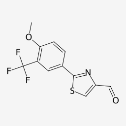 COc1ccc(-c2nc(C=O)cs2)cc1C(F)(F)F